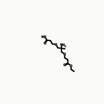 CCOC(=O)CCOCC(C)(N)COCCC(=O)O